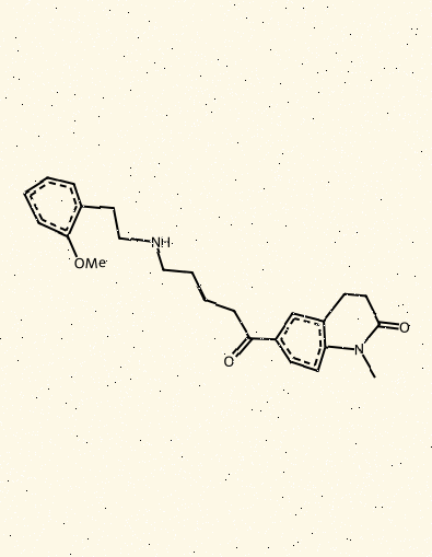 COc1ccccc1CCNCCCCC(=O)c1ccc2c(c1)CCC(=O)N2C